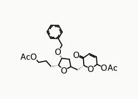 CC(=O)OCCC[C@H]1OC(C[C@H]2OC(OC(C)=O)C=CC2=O)C[C@H]1OCc1ccccc1